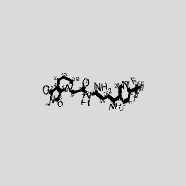 CN1C(=O)C2=C(C1=O)N(CC(=O)N/C(N)=C/C=C(\N)c1ccc(C(F)(F)F)nc1)CCC2